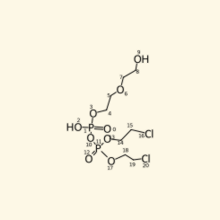 O=P(O)(OCCOCCO)OP(=O)(OCCCl)OCCCl